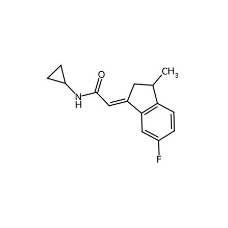 CC1C/C(=C\C(=O)NC2CC2)c2cc(F)ccc21